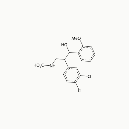 COc1ccccc1C(O)C(CNC(=O)O)c1ccc(Cl)c(Cl)c1